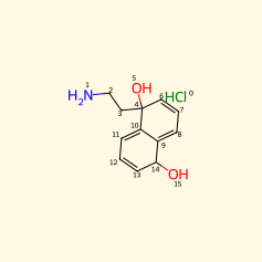 Cl.NCCC1(O)C=CC=C2C1=CC=CC2O